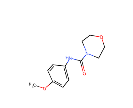 O=C(Nc1ccc(OC(F)(F)F)cc1)N1CCOCC1